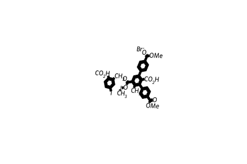 COC(=O)c1ccc(-c2cc(C(=O)O[I+]C)c(C)c(-c3ccc(C(=O)OC)cc3)c2C(=O)O)cc1.Cc1cc(I)ccc1C(=O)O.[Br-]